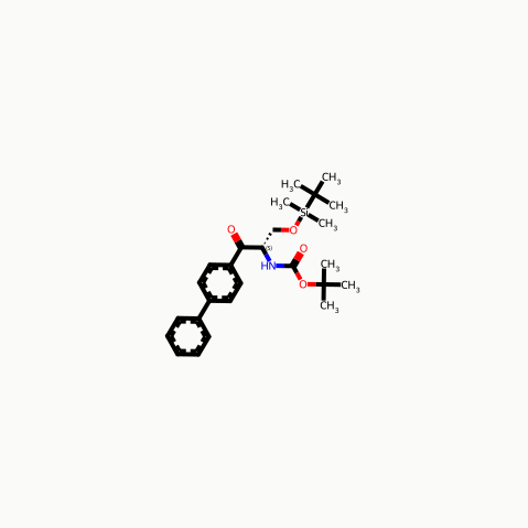 CC(C)(C)OC(=O)N[C@@H](CO[Si](C)(C)C(C)(C)C)C(=O)c1ccc(-c2ccccc2)cc1